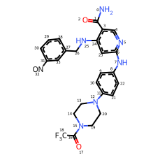 NC(=O)c1cnc(Nc2ccc(N3CCN(C(=O)C(F)(F)F)CC3)cc2)cc1NCc1cccc(N=O)c1